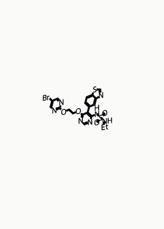 CCNS(=O)(=O)Nc1ncnc(OCCOc2ncc(Br)cn2)c1-c1ccc2scnc2c1